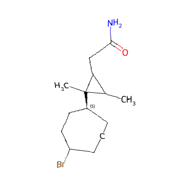 CC1C(CC(N)=O)C1(C)[C@H]1CCCC(Br)CC1